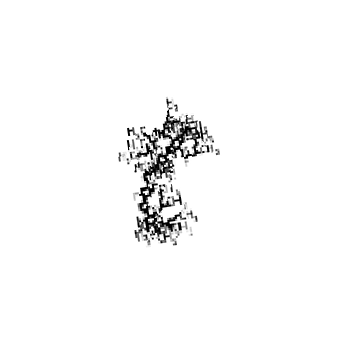 CCCCC(CC)COc1c(OCC(CC)CCCC)c(C(C)(C)C(C)(C)C)c2nsnc2c1-c1ccc(-c2cc(F)c(-c3ccc(C(C)(C)C(C)(C)c4c(OCC(CC)CCCC)c(OCC(CC)CCCC)c(-c5cc6c(-c7cc(F)c(CC(CC)CCCC)s7)c7sc(C(C)(C)C(C)(C)C)cc7c(-c7cc(F)c(CC(CC)CCCC)s7)c6s5)c5nsnc45)s3)cc2F)s1